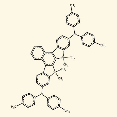 Cc1ccc(N(c2ccc(C)cc2)c2ccc3c(c2)[Si](C)(C)c2c4c(c5ccccc5c2-3)-c2ccc(N(c3ccc(C)cc3)c3ccc(C)cc3)cc2[Si]4(C)C)cc1